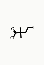 CC(C)(CCI)C(=O)Cl